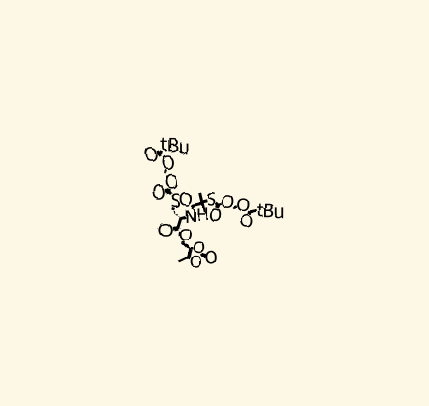 Cc1oc(=O)oc1COC(=O)[C@H](CSC(=O)OCOC(=O)C(C)(C)C)NC(=O)C(C)(C)SC(=O)OCOC(=O)C(C)(C)C